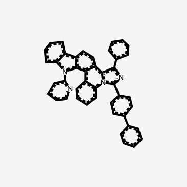 c1ccc(-c2ccc(-c3nc(-c4ccccc4)c4c5ccc6c7ccccc7n(-c7ccccn7)c6c5c5ccccc5n34)cc2)cc1